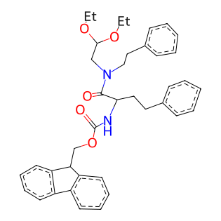 CCOC(CN(CCc1ccccc1)C(=O)C(CCc1ccccc1)NC(=O)OCC1c2ccccc2-c2ccccc21)OCC